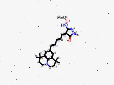 COONC1=NN(C)C(=O)\C1=C/C=C/C=C/c1cc2c3c(c1)C(C)(C)CCN3CCC2(C)C